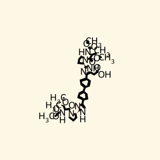 COC(=O)N[C@H](C(=O)N1CCC[C@H]1c1nc(-c2ccc(-c3ccc(-c4nc([C@@H]5CCCN5C(=O)[C@@H](NC(=O)OC)[C@@H](C)OC)[nH]c4CC(=O)O)cc3)cc2)c[nH]1)[C@@H](C)OC